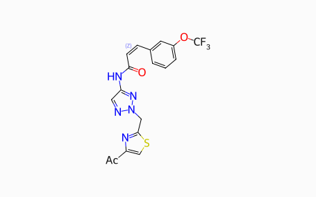 CC(=O)c1csc(Cn2ncc(NC(=O)/C=C\c3cccc(OC(F)(F)F)c3)n2)n1